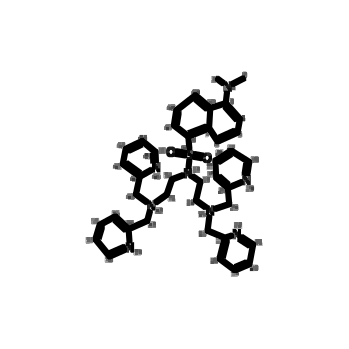 CN(C)c1cccc2c(S(=O)(=O)N(CCN(Cc3ccccn3)Cc3ccccn3)CCN(Cc3ccccn3)Cc3ccccn3)cccc12